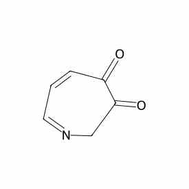 O=C1C=CC=NCC1=O